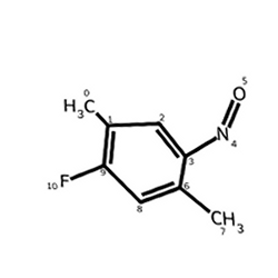 Cc1cc(N=O)c(C)cc1F